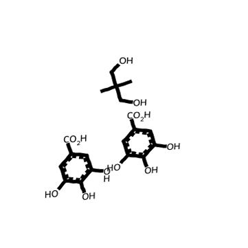 CC(C)(CO)CO.O=C(O)c1cc(O)c(O)c(O)c1.O=C(O)c1cc(O)c(O)c(O)c1